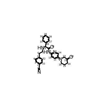 N#Cc1ccc(CCNC(C(=O)Nc2ccc(N3CCCC(=O)C3)cn2)c2ccccc2)cc1